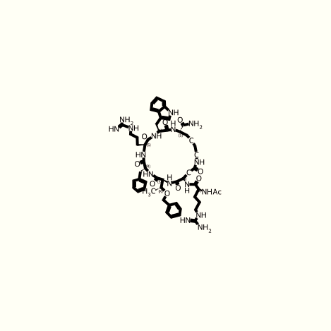 CC(=O)N[C@@H](CCCNC(=N)N)C(=O)N[C@H]1CC(=O)NCCCC[C@@H](C(N)=O)NC(=O)[C@H](Cc2c[nH]c3ccccc23)NC(=O)[C@H](CCCNC(=N)N)NC(=O)[C@@H](Cc2ccccc2)NC(=O)[C@H]([C@@H](C)OCc2ccccc2)NC1=O